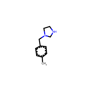 Cc1ccc(CN2CCNC2)cc1